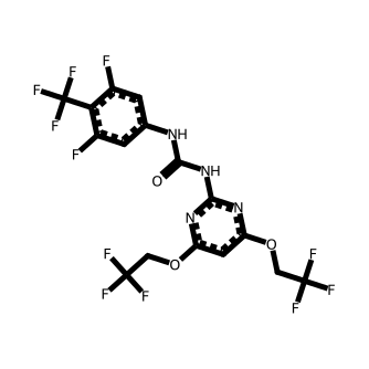 O=C(Nc1cc(F)c(C(F)(F)F)c(F)c1)Nc1nc(OCC(F)(F)F)cc(OCC(F)(F)F)n1